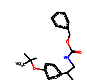 CC(CNC(=O)OCc1ccccc1)c1ccc(OC(C)(C)C(=O)O)cc1